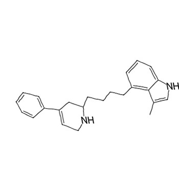 Cc1c[nH]c2cccc(CCCCC3CC(c4ccccc4)=CCN3)c12